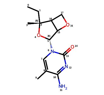 CC[C@@]1(C)O[C@@H](n2cc(C)c(N)nc2=O)C2OCC21